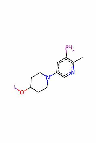 Cc1ncc(N2CCC(OI)CC2)cc1P